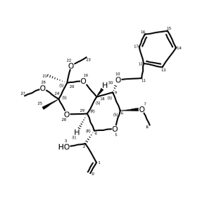 C=CC(O)[C@H]1O[C@H](OC)[C@@H](OCc2ccccc2)[C@H]2O[C@](C)(OC)[C@@](C)(OC)O[C@@H]21